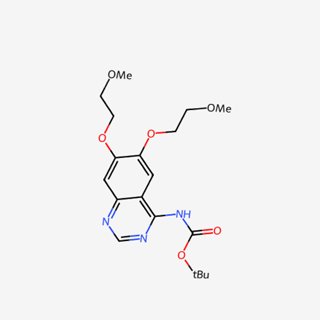 COCCOc1cc2ncnc(NC(=O)OC(C)(C)C)c2cc1OCCOC